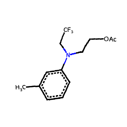 CC(=O)OCCN(CC(F)(F)F)c1cccc(C)c1